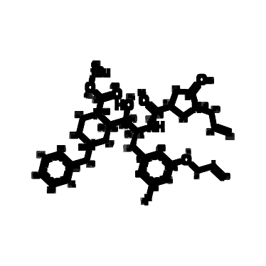 C=CCOc1cc(F)cc(C[C@H](NC(=O)C2CC(=O)N(CC=C)C2)[C@H](O)[C@H]2CN(Cc3ccccc3)CCN2C(=O)OC(C)(C)C)c1